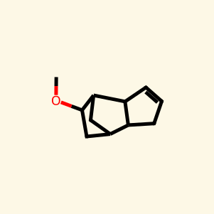 COC1CC2CC1C1C=CCC21